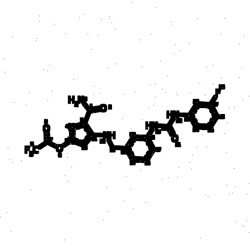 NC(=O)c1nn(OC(=O)C(F)(F)F)cc1NCc1cccc(NC(=O)Nc2cccc(F)c2)c1